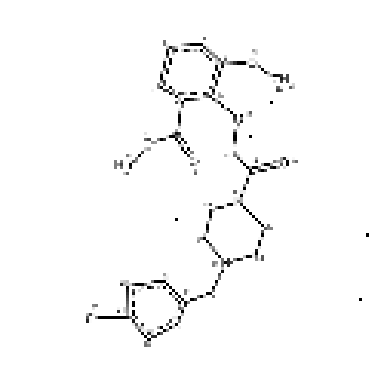 COC(=O)c1cccc(OC)c1OCC(=O)N1CCN(Cc2ccc(Cl)cc2)CC1